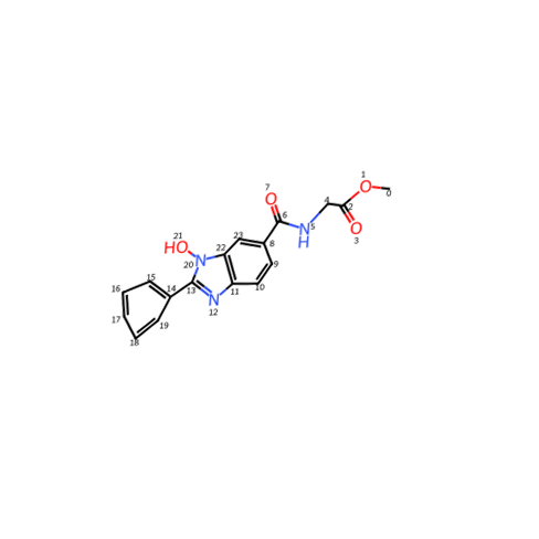 COC(=O)CNC(=O)c1ccc2nc(-c3ccccc3)n(O)c2c1